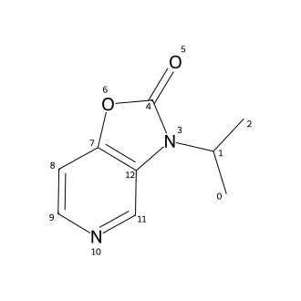 CC(C)n1c(=O)oc2ccncc21